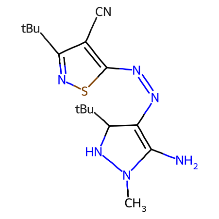 CN1NC(C(C)(C)C)C(/N=N\c2snc(C(C)(C)C)c2C#N)=C1N